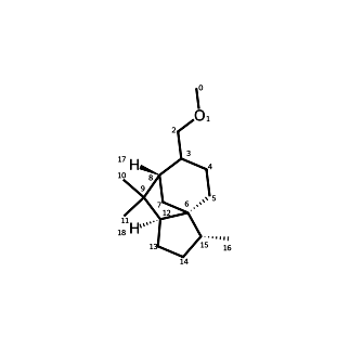 COCC1CC[C@@]23C[C@@H]1C(C)(C)[C@@H]2CC[C@H]3C